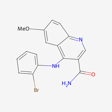 COc1ccc2ncc(C(N)=O)c(Nc3ccccc3Br)c2c1